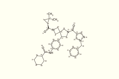 CC1(C)C[C@@H]1C(=O)N1CC2(CN(C(=O)c3cnn(Cc4ccccc4)c3)CC2c2ccc(NC(=O)C3CCCCC3)cc2)C1